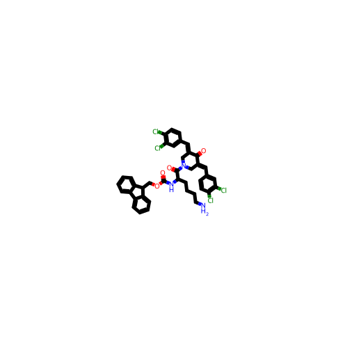 NCCCCC(NC(=O)OCC1c2ccccc2-c2ccccc21)C(=O)N1C/C(=C\c2ccc(Cl)c(Cl)c2)C(=O)/C(=C/c2ccc(Cl)c(Cl)c2)C1